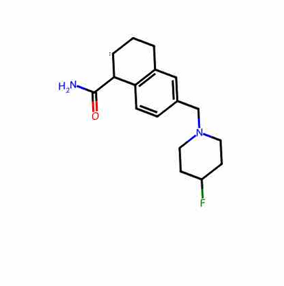 NC(=O)C1[C]CCc2cc(CN3CCC(F)CC3)ccc21